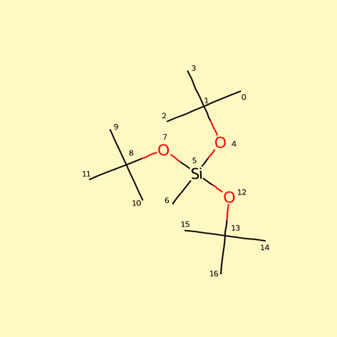 CC(C)(C)O[Si](C)(OC(C)(C)C)OC(C)(C)C